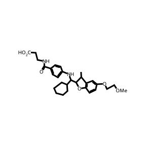 COCCOc1ccc2c(c1)C(C)C(C(Nc1ccc(C(=O)NCCC(=O)O)cc1)C1CCCCC1)O2